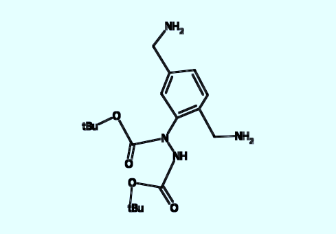 CC(C)(C)OC(=O)NN(C(=O)OC(C)(C)C)c1cc(CN)ccc1CN